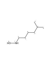 CC(C)CCCCNO